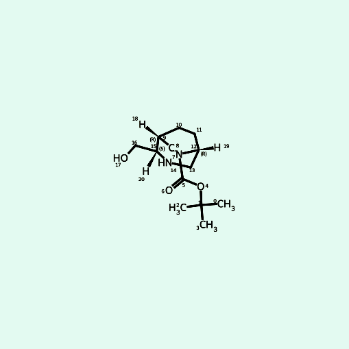 CC(C)(C)OC(=O)N1C[C@H]2CC[C@@H]1CN[C@@H]2CO